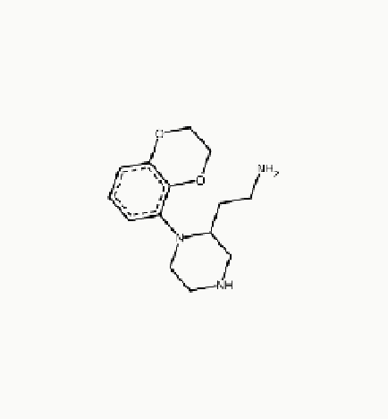 NCCC1CNCCN1c1cccc2c1OCCO2